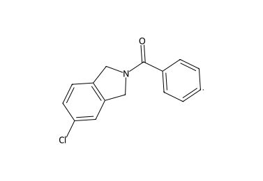 O=C(c1cc[c]cc1)N1Cc2ccc(Cl)cc2C1